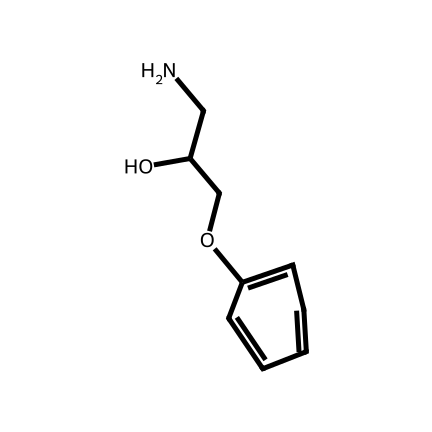 NCC(O)COc1ccccc1